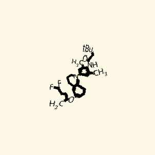 C=C(CCC(F)F)OC1=CCC=C2CN(c3cc(C)c(NC(=O)CC(C)(C)C)c(C)c3)CCCC2=C1